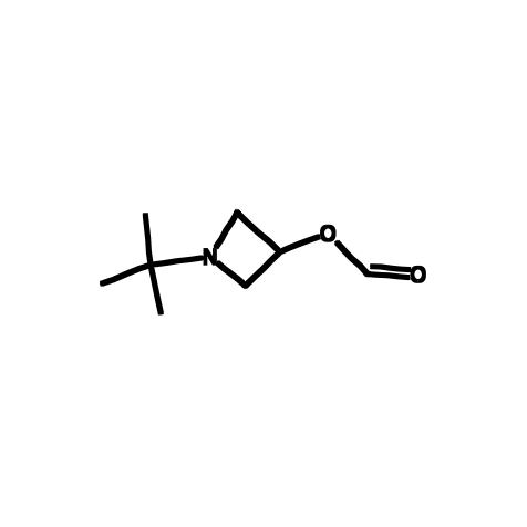 CC(C)(C)N1CC(OC=O)C1